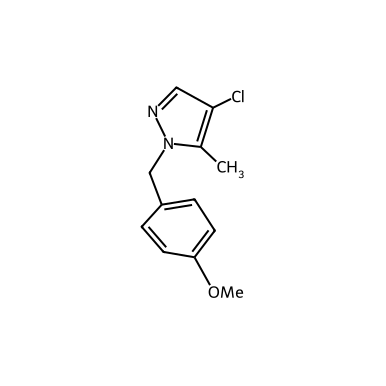 COc1ccc(Cn2ncc(Cl)c2C)cc1